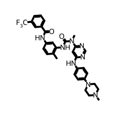 Cc1ccc(NC(=O)c2cccc(C(F)(F)F)c2)cc1NC(=O)N(C)c1cc(Nc2ccc(N3CCN(C)CC3)cc2)ncn1